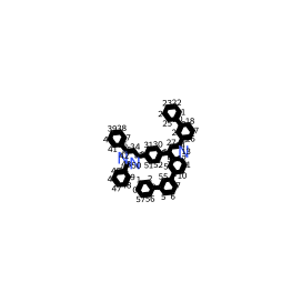 c1ccc(-c2cccc(-c3ccc4nc(-c5cccc(-c6ccccc6)c5)cc(-c5ccc(-c6cc(-c7ccccc7)nc(-c7ccccc7)n6)cc5)c4c3)c2)cc1